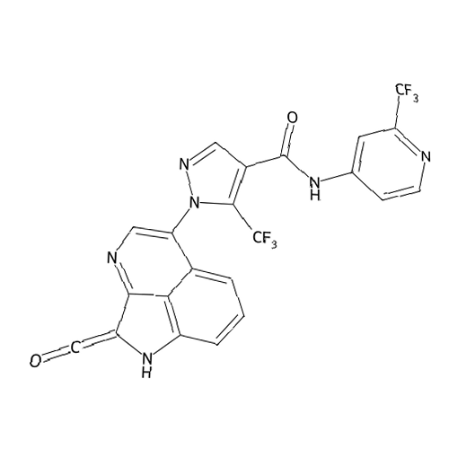 O=C=c1[nH]c2cccc3c(-n4ncc(C(=O)Nc5ccnc(C(F)(F)F)c5)c4C(F)(F)F)cnc1c23